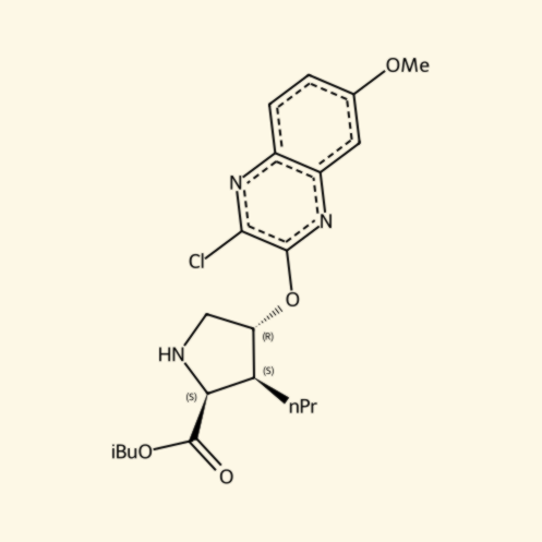 CCC[C@@H]1[C@@H](Oc2nc3cc(OC)ccc3nc2Cl)CN[C@@H]1C(=O)OCC(C)C